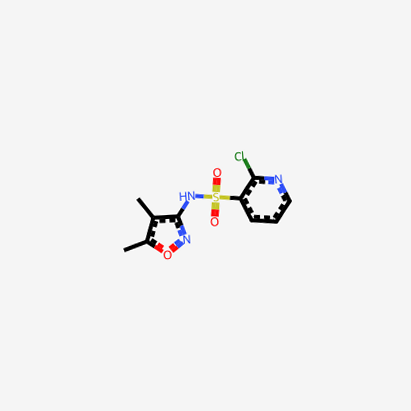 Cc1onc(NS(=O)(=O)c2cccnc2Cl)c1C